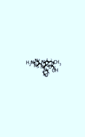 CN(Cc1cc2nc(-c3cnc(N)nc3)nc(N3CCOCC3)c2s1)C(=O)CO